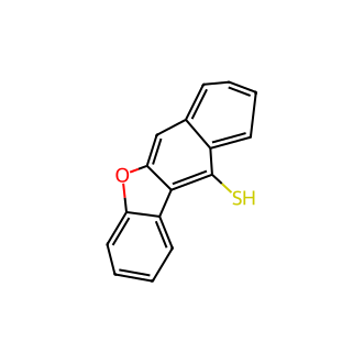 Sc1c2ccccc2cc2oc3ccccc3c12